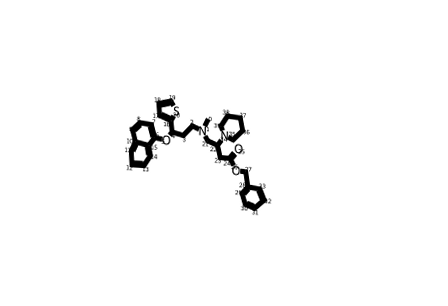 CN(CCC(Oc1cccc2ccccc12)c1cccs1)CC(CC(=O)OCc1ccccc1)N1CCCCC1